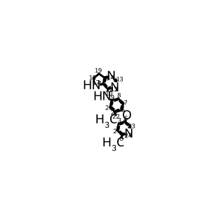 Cc1ccc(Oc2ccc(Nc3ncnc4c3NCC4)cc2C)cn1